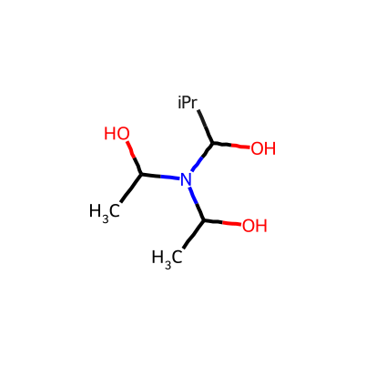 CC(C)C(O)N(C(C)O)C(C)O